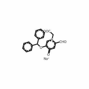 O=Cc1cc(=O)c(OC(c2ccccc2)c2ccccc2)cn1CC(=O)[O-].[Na+]